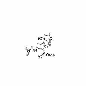 COC(=O)c1sc(C2(O)CCOC2C)cc1/N=C/N(C)C